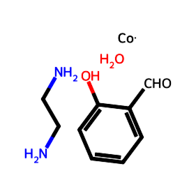 NCCN.O.O=Cc1ccccc1O.[Co]